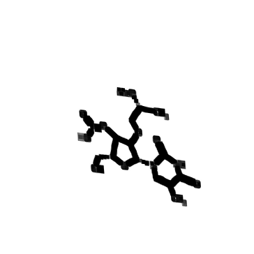 CO[C@H](C)COC1C(O[PH](=O)O)[C@@H](CO)O[C@H]1n1cc(C)c(=O)[nH]c1=O